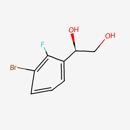 OC[C@H](O)c1cccc(Br)c1F